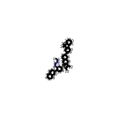 C/C=C\C=C/c1cc(-n2c(C)c(C)c3cc4cc(-c5ccc6c(c5)C(C)(C)c5ccccc5-6)ccc4cc32)ccc1-c1ccc2ccccc2c1